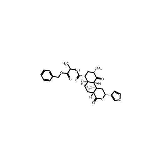 CC(=O)O[C@H]1C[C@@H](C(=O)NC(C)C(=O)OCc2ccccc2)[C@]2(C)CC[C@H]3C(=O)O[C@@H](c4ccoc4)C[C@]3(C)[C@H]2C1=O